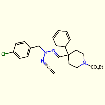 C=C=NN(Cc1ccc(Cl)cc1)/N=C/C1(C2C=CC=CC2)CCN(C(=O)OCC)CC1